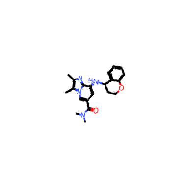 Cc1nc2c(NC3CCOc4ccccc43)cc(C(=O)N(C)C)cn2c1C